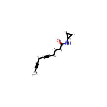 CCC#CCC#CCCCC(=O)NC1CC1